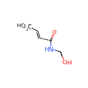 O=C(O)C=CC(=O)NCO